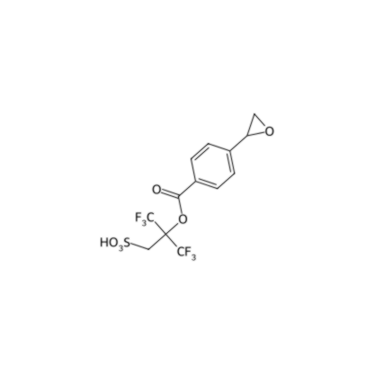 O=C(OC(CS(=O)(=O)O)(C(F)(F)F)C(F)(F)F)c1ccc(C2CO2)cc1